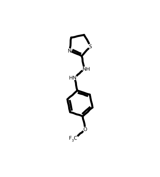 FC(F)(F)Oc1ccc(NNC2=NCCS2)cc1